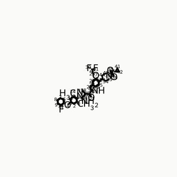 Cc1cc(Oc2ccccc2F)cc(C)c1-n1ncc(C(=O)c2cc3cc(OCC(F)F)c(C4CCN(S(=O)(=O)C5CC5)CC4)cc3[nH]2)c1N